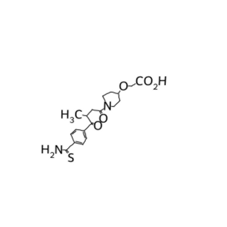 CC(CC(=O)N1CCC(OCC(=O)O)CC1)C(=O)c1ccc(C(N)=S)cc1